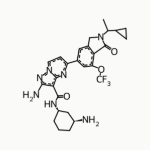 CC(C1CC1)N1Cc2cc(-c3ccn4nc(N)c(C(=O)N[C@@H]5CCC[C@H](N)C5)c4n3)cc(OC(F)(F)F)c2C1=O